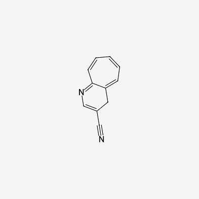 N#CC1=CN=C2C=CC=CC=C2C1